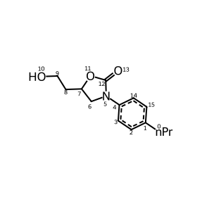 CCCc1ccc(N2CC(CCO)OC2=O)cc1